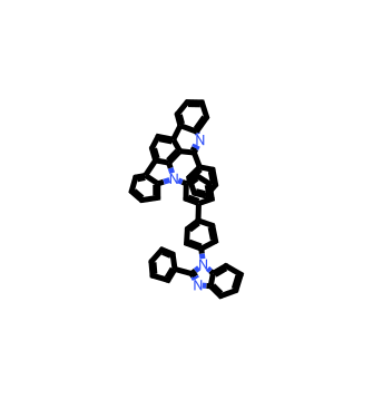 c1ccc(-c2nc3ccccc3c3ccc4c5ccccc5n(-c5cccc(-c6ccc(-n7c(-c8ccccc8)nc8ccccc87)cc6)c5)c4c23)cc1